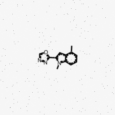 Cc1cccc2c1cc(-c1nnco1)n2C